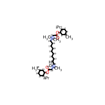 CC(C)[C@@H]1CC[C@@H](C)C[C@H]1OC(=O)C[N+](C)(C)CCCCCCCCCC[N+](C)(C)CC(=O)O[C@@H]1C[C@H](C)CC[C@H]1C(C)C